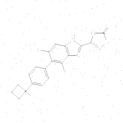 O=c1[nH]c(-c2nc3c(F)c(-c4ccc(C5(O)CCC5)cc4)c(F)cc3[nH]2)no1